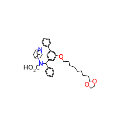 O=C(O)N(C(c1ccccc1)c1cc(OCCCCCCCCC2OCCO2)cc(-c2ccccc2)c1)C1CN2CCC1CC2